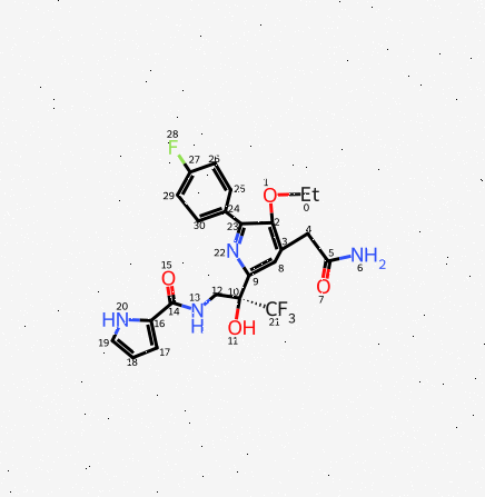 CCOc1c(CC(N)=O)cc([C@@](O)(CNC(=O)c2ccc[nH]2)C(F)(F)F)nc1-c1ccc(F)cc1